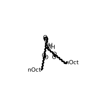 CCCCCCCC/C=C\CCCCCCCC(=O)OCCCCCC(O)C(CCCCOC(=O)CCCCCCC/C=C\CCCCCCCC)CNCCN1CCOCC1